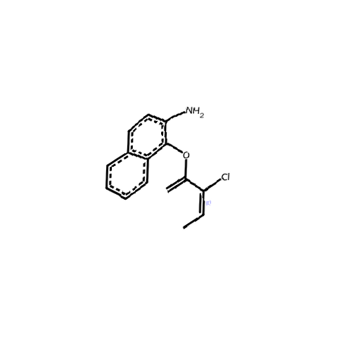 C=C(Oc1c(N)ccc2ccccc12)/C(Cl)=C\C